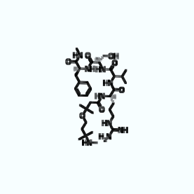 CNC(=O)[C@H](Cc1ccccc1)NC(=O)[C@H](CO)NC(=O)C(NC(=O)[C@H](CCCNC(=N)N)NC(=O)CC(C)(C)OCCC(C)(C)NC)C(C)C